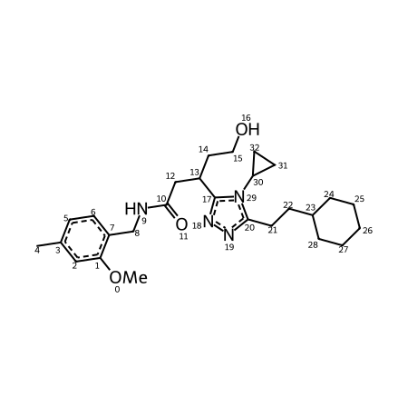 COc1cc(C)ccc1CNC(=O)CC(CCO)c1nnc(CCC2CCCCC2)n1C1CC1